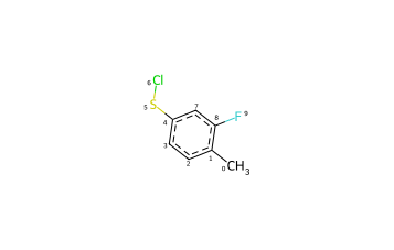 Cc1ccc(SCl)cc1F